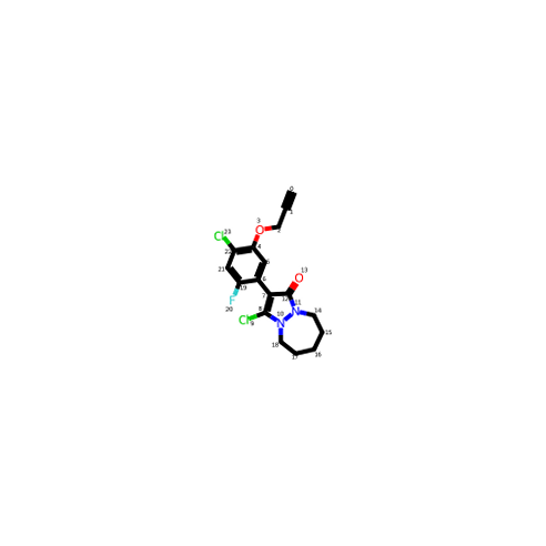 C#CCOc1cc(-c2c(Cl)n3n(c2=O)CCCCC3)c(F)cc1Cl